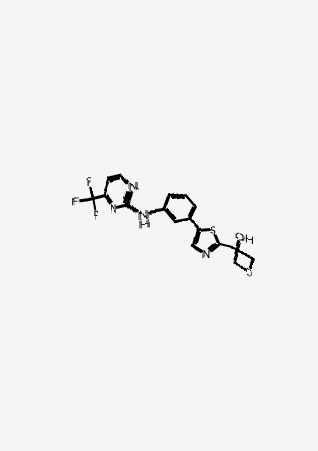 OC1(c2ncc(-c3cccc(Nc4nccc(C(F)(F)F)n4)c3)s2)COC1